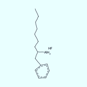 CCCCCCC[CH]([AlH2])Cc1ccccc1.F